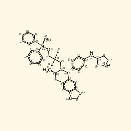 C[C@@H]1Cc2cc3c(cc2[C@@H](c2ccc(N[C@H]4CCNC4)cn2)N1CC(F)(F)CO[Si](c1ccccc1)(c1ccccc1)C(C)(C)C)OCO3